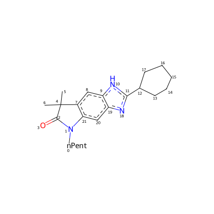 CCCCCN1C(=O)C(C)(C)c2cc3[nH]c(C4CCCCC4)nc3cc21